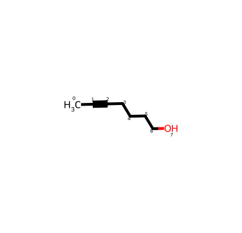 CC#CCCCCO